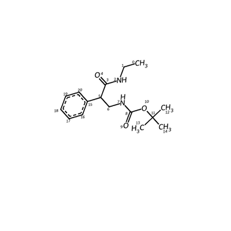 CCNC(=O)C(CNC(=O)OC(C)(C)C)c1ccccc1